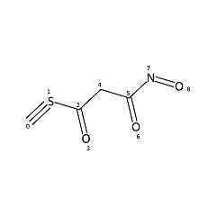 C#SC(=O)CC(=O)N=O